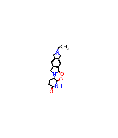 CCN1Cc2cc3c(cc2C1)C(=O)N(C1CCC(=O)NC1=O)C3